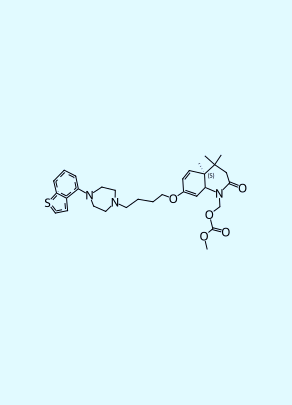 COC(=O)OCN1C(=O)CC(C)(C)[C@]2(C)C=CC(OCCCCN3CCN(c4cccc5sccc45)CC3)=CC12